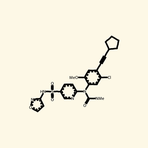 CNC(=O)N(c1ccc(S(=O)(=O)Nc2ccon2)cn1)c1cc(Cl)c(C#CC2CCCC2)cc1OC